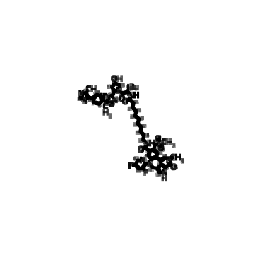 Cc1ncsc1-c1ccc([C@]2(C)NC(C3C[C@@H](O)CN3C(=O)C(NC(=O)CCCCCCCCCCNC(=O)c3cc4c(cc3CS(C)(=O)=O)-c3cn(C)c(=O)c5[nH]cc(c35)CN4c3ncc(F)cc3F)C(C)(C)C)=NO2)cc1